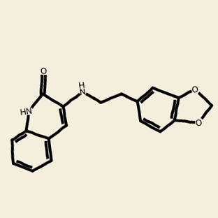 O=c1[nH]c2ccccc2cc1NCCc1ccc2c(c1)OCO2